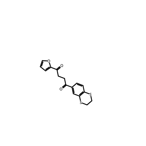 O=C(CCC(=O)c1ccco1)c1ccc2c(c1)SCCS2